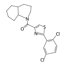 O=C(c1csc(-c2cc(Cl)ccc2Cl)n1)N1CCCC2CCCCC21